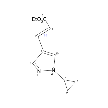 CCOC(=O)/C=C/c1cnn(C2CC2)c1